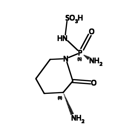 N[C@@H]1CCCN([P@](N)(=O)NS(=O)(=O)O)C1=O